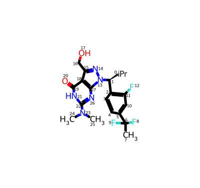 CC(C)[C@@H](c1ccc(C(C)(F)F)cc1F)n1nc(CO)c2c(=O)[nH]c(N(C)C)nc21